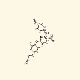 Cc1cc(C=CC#N)cc(C)c1Oc1ccc([N+](=O)[O-])c(Nc2ccc(C#N)cc2)n1